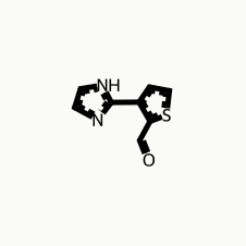 O=Cc1sccc1-c1ncc[nH]1